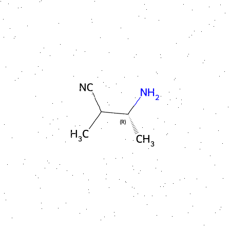 CC(C#N)[C@@H](C)N